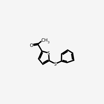 CC(=O)c1ccc(Sc2ccccc2)s1